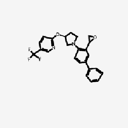 FC(F)(F)c1ccc(O[C@H]2CCN(c3ccc(-c4ccccc4)cc3C3CO3)C2)nc1